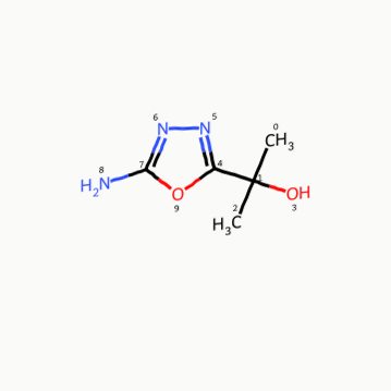 CC(C)(O)c1nnc(N)o1